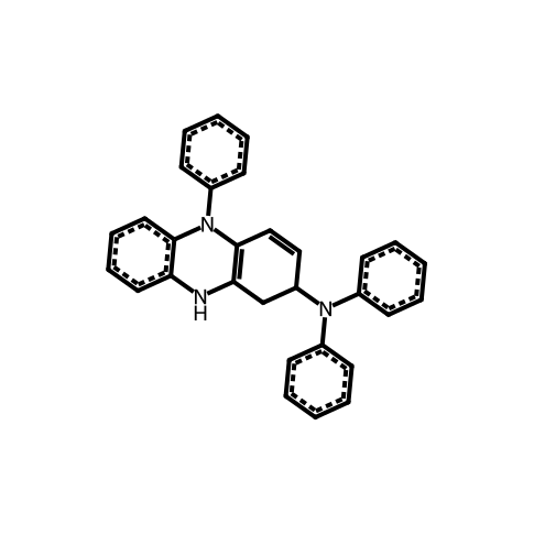 C1=CC(N(c2ccccc2)c2ccccc2)CC2=C1N(c1ccccc1)c1ccccc1N2